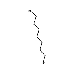 BrCOCCCOCBr